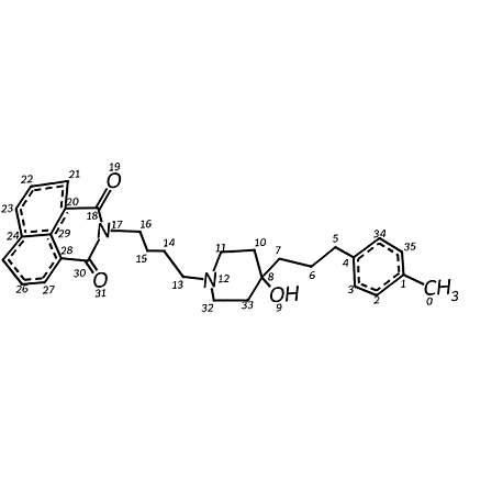 Cc1ccc(CCCC2(O)CCN(CCCCN3C(=O)c4cccc5cccc(c45)C3=O)CC2)cc1